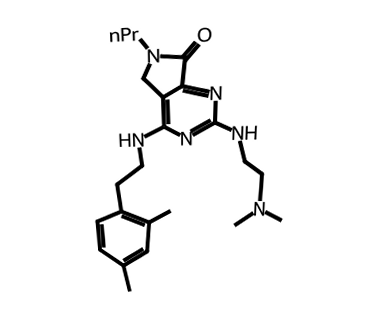 CCCN1Cc2c(NCCc3ccc(C)cc3C)nc(NCCN(C)C)nc2C1=O